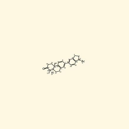 CC(=O)N1CCc2cc(-c3ccc4c(c3)CC[C@H]3N(C)C(=O)CC[C@]43C)ccc21